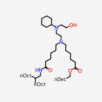 CCCCCCCCCCCOC(=O)CCCCCN(CCCCCC(=O)NCC(CCCCCCCC)CCCCCCCC)CCN(CCO)C1CCCCC1